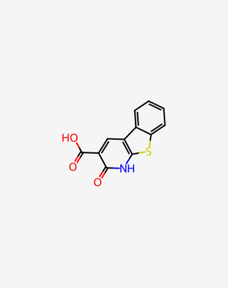 O=C(O)c1cc2c([nH]c1=O)sc1ccccc12